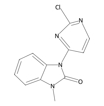 Cn1c(=O)n(-c2ccnc(Cl)n2)c2ccccc21